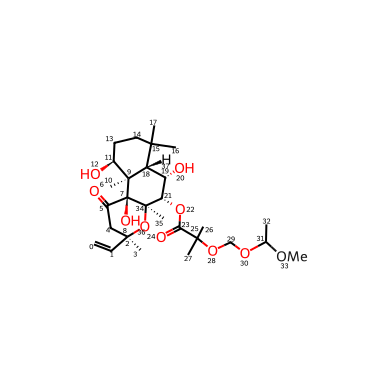 C=C[C@@]1(C)CC(=O)[C@]2(O)[C@@]3(C)[C@@H](O)CCC(C)(C)[C@@H]3[C@H](O)[C@H](OC(=O)C(C)(C)OCOC(C)OC)[C@@]2(C)O1